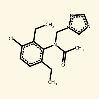 CCc1ccc(Cl)c(CC)c1N(Cn1cncn1)C(C)=O